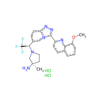 COc1cccc2ccc(-c3nnc4ccc([C@@H](N5CC[C@@](C)(N)C5)C(F)(F)F)cn34)nc12.Cl.Cl